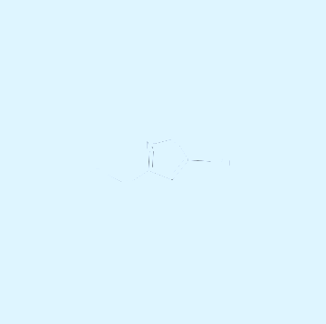 CCOc1cc(C(C)(C)C)on1